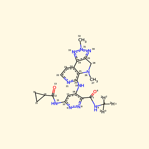 [2H]C([2H])([2H])NC(=O)c1nnc(NC(=O)C2CC2)cc1Nc1nccc2c1N(C)Cc1nn(C)nc1-2